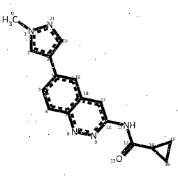 Cn1cc(-c2ccc3nnc(NC(=O)C4CC4)cc3c2)cn1